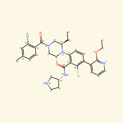 CCOc1ncccc1-c1ccc(N2CCN(C(=O)c3ccc(C)cc3Cl)C[C@H]2CC)c(C(=O)N[C@@H]2CCNC2)c1F